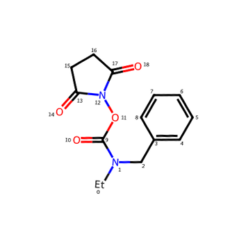 CCN(Cc1ccccc1)C(=O)ON1C(=O)CCC1=O